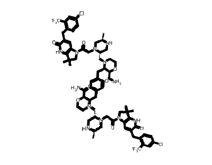 C[C@@H]1CN(CC(=O)N2CC(C)(C)c3[nH]c(=O)c(Cc4ccc(Cl)cc4C(F)(F)F)cc32)[C@@H](CN2CCOC(C(N)=O)C2Cc2ccc(CC3C(C(N)=O)OCCN3C[C@H]3CN[C@H](C)CN3CC(=O)N3CC(C)(C)c4[nH]c(=O)c(Cc5ccc(Cl)cc5C(F)(F)F)cc43)cc2)CN1